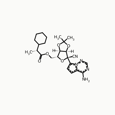 C[C@@H](C(=O)OC[C@H]1O[C@@](C#N)(c2ccc3c(N)ncnn23)[C@@H]2OC(C)(C)O[C@@H]21)C1CCCCC1